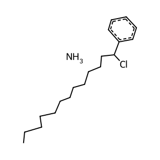 CCCCCCCCCCCCC(Cl)c1ccccc1.N